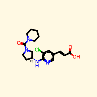 O=C(O)C=Cc1cnc(N[C@@H]2CCN(C(=O)N3CCCCC3)C2)c(Cl)c1